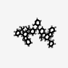 Cc1ccccc1N(c1ccc2c(c1)C(C)(C)c1cc(-c3ccccc3)c3oc4ccccc4c3c1-2)c1ccc2c(c1)C(C)(C)c1c3c(c4oc5ccccc5c4c1-2)-c1ccccc1C3(C)C